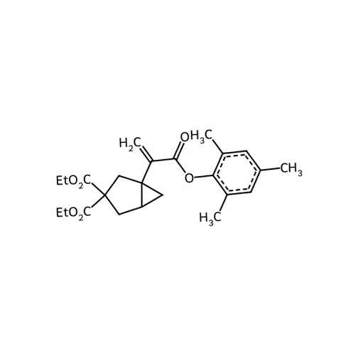 C=C(C(=O)Oc1c(C)cc(C)cc1C)C12CC1CC(C(=O)OCC)(C(=O)OCC)C2